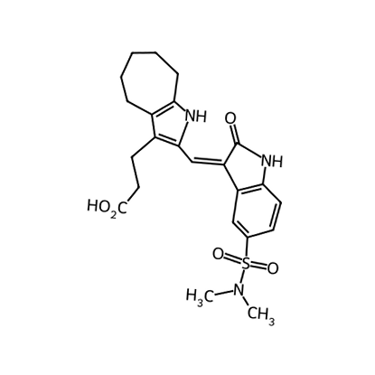 CN(C)S(=O)(=O)c1ccc2c(c1)/C(=C/c1[nH]c3c(c1CCC(=O)O)CCCCC3)C(=O)N2